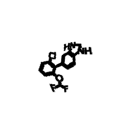 FC(F)Oc1cccc(Cl)c1-c1ccc2c(c1)NCN2